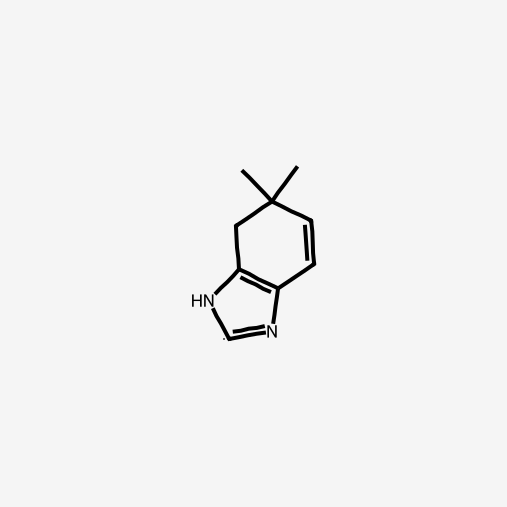 CC1(C)C=Cc2n[c][nH]c2C1